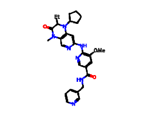 CCC1C(=O)N(C)c2cnc(Nc3ncc(C(=O)NCc4cccnc4)cc3OC)cc2N1C1CCCC1